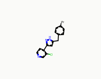 CC(C)c1ccc(Cc2cc(-c3ccncc3Cl)n[nH]2)cc1